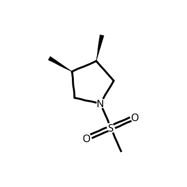 C[C@@H]1CN(S(C)(=O)=O)C[C@@H]1C